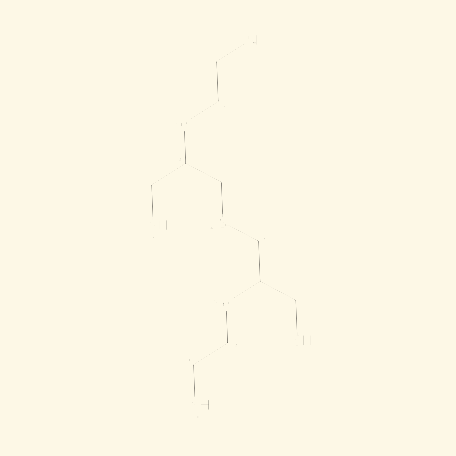 SCC[Se]C(CS)CSCC(CS)[Se]CCS